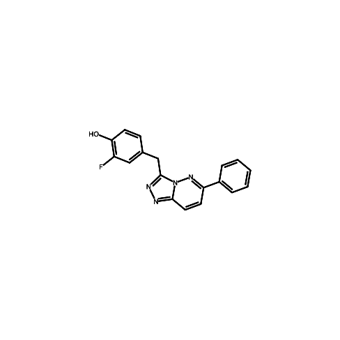 Oc1ccc(Cc2nnc3ccc(-c4ccccc4)nn23)cc1F